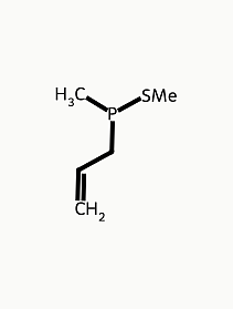 C=CCP(C)SC